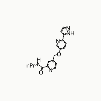 CCCNC(=O)c1cc(COc2ccc(-c3ccn[nH]3)nc2)ccn1